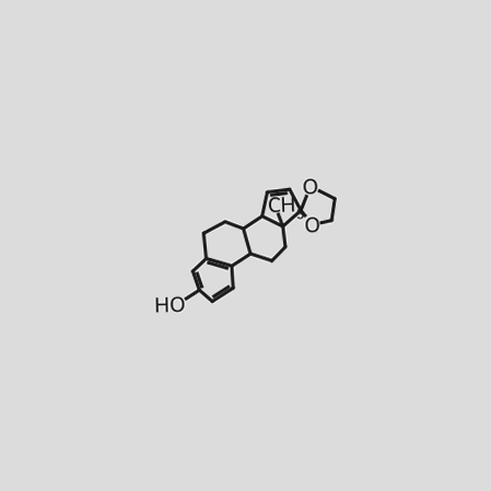 CC12CCC3c4ccc(O)cc4CCC3C1C=CC21OCCO1